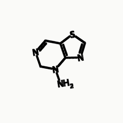 NN1CN=Cc2scnc21